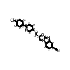 N#Cc1ccc2c(c1)nc1n2C[C@@H](COc2ccc(-c3ccc(Cl)cc3)nc2)O1